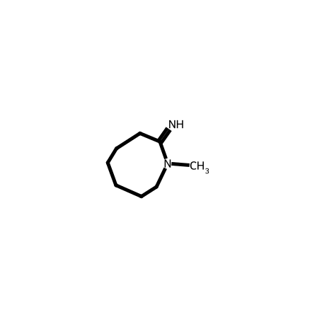 CN1CCCCCCC1=N